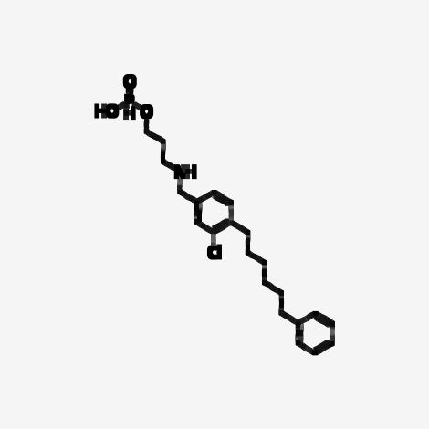 O=[PH](O)OCCCNCc1ccc(CCCCCCc2ccccc2)c(Cl)c1